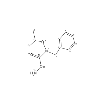 CC(C)ON(Cc1ccccc1)C(=O)ON